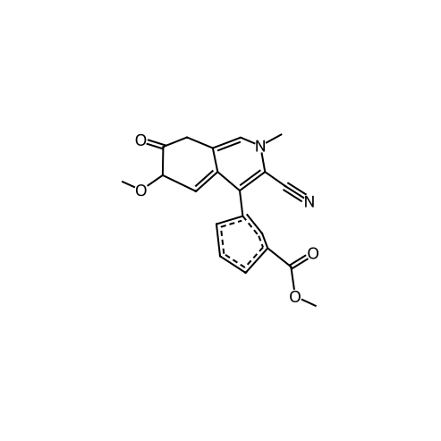 COC(=O)c1cccc(C2=C(C#N)N(C)C=C3CC(=O)C(OC)C=C32)c1